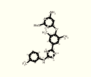 CSc1nc(N)cc(Oc2c(C)cc(-c3nnc(Nc4cccc(C(F)(F)F)c4)[nH]3)cc2C)n1